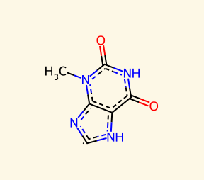 Cn1c(=O)[nH]c(=O)c2[nH][c]nc21